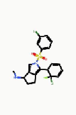 CNC1CCc2c1cn(S(=O)(=O)c1cccc(Cl)c1)c2C1C=CC=CC1(F)Cl